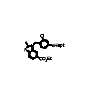 CCCCCCCc1ccc(Cn2c(C)nc3ccc(C(=O)OCC)cc32)c(Cl)c1